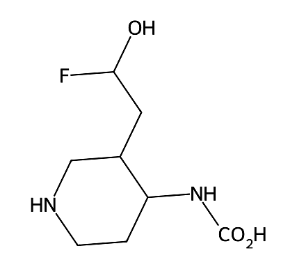 O=C(O)NC1CCNCC1CC(O)F